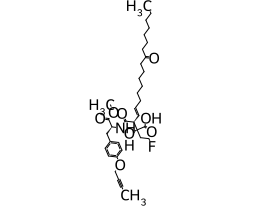 CC#CCOc1ccc(C[C@H](NC(=O)[C@@H](C=CCCCCCCC(=O)CCCCCCC)[C@@](O)(CCF)C(=O)O)C(=O)OC)cc1